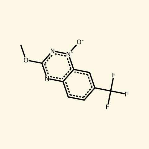 COc1nc2ccc(C(F)(F)F)cc2[n+]([O-])n1